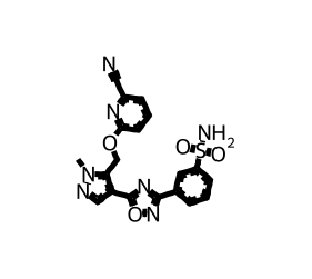 Cn1ncc(-c2nc(-c3cccc(S(N)(=O)=O)c3)no2)c1COc1cccc(C#N)n1